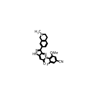 COc1cc(C#N)cc(F)c1-n1nc2c(-c3ccc4c(c3)CN(C)CC4)n[nH]c2cc1=O